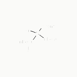 CCCCC[N+](CCC)(CCCCC)CCCCC.[I-]